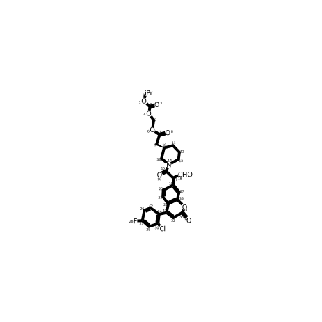 CC(C)OC(=O)OCOC(=O)C[C@H]1CCCN(C(=O)C(C=O)c2ccc3c(-c4ccc(F)cc4Cl)cc(=O)oc3c2)C1